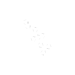 c1ccc2c(c1)ccc1c3cc(-c4c5ccccc5c(-c5ccc6c7ccccc7c7ccccc7c6c5)c5ccccc45)ccc3oc21